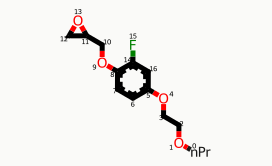 CCCOCCOc1ccc(OCC2CO2)c(F)c1